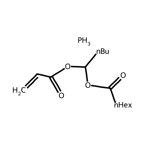 C=CC(=O)OC(CCCC)OC(=O)CCCCCC.P